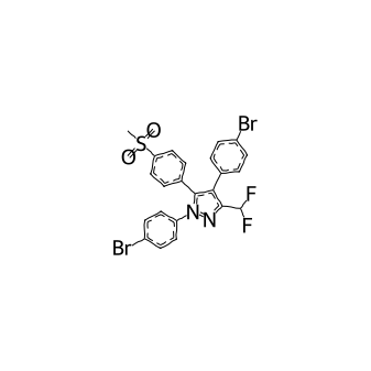 CS(=O)(=O)c1ccc(-c2c(-c3ccc(Br)cc3)c(C(F)F)nn2-c2ccc(Br)cc2)cc1